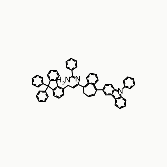 N/C(=N\C(=C/Cc1cccc2c1-c1ccccc1C2(c1ccccc1)c1ccccc1)C1=c2ccccc2=C(c2ccc3c(c2)c2ccccc2n3-c2ccccc2)C=CC1)c1ccccc1